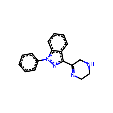 c1ccc(-n2nc(C3=NCCNC3)c3ccccc32)cc1